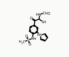 CS(=O)(=O)Nc1ccc(C(=O)C(S)NC=O)cc1[SH]1C=CC=C1